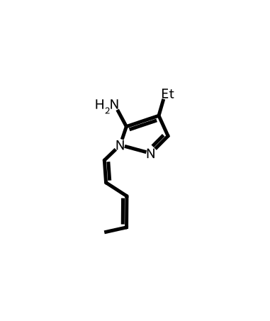 C/C=C\C=C/n1ncc(CC)c1N